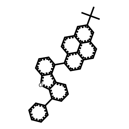 CC(C)(C)c1cc2ccc3ccc(-c4cccc5oc6c(-c7ccccc7)cccc6c45)c4ccc(c1)c2c34